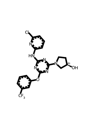 O[C@@H]1CCN(c2nc(Nc3cccc(Cl)n3)nc(Oc3cccc(C(F)(F)F)c3)n2)C1